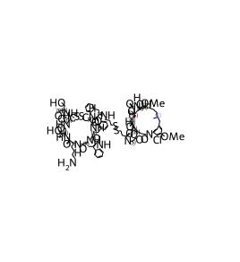 COc1cc2cc(c1Cl)N(C)C(=O)C[C@H](OC(=O)[C@H](C)N(C)C(=O)CCSSCCCN[C@H](Cc1ccccc1)C(=O)N[C@H]1CSSC[C@@H](C(=O)N[C@H](CO)[C@@H](C)O)NC(=O)[C@H]([C@@H](C)O)NC(=O)[C@H](CCCCN)NC(=O)[C@@H](Cc3c[nH]c4ccccc34)NC(=O)[C@H](Cc3ccccc3)NC1=O)[C@]1(C)O[C@H]1[C@H](C)[C@@H]1C[C@@](O)(NC(=O)O1)[C@H](OC)CC/C=C(\C)C2